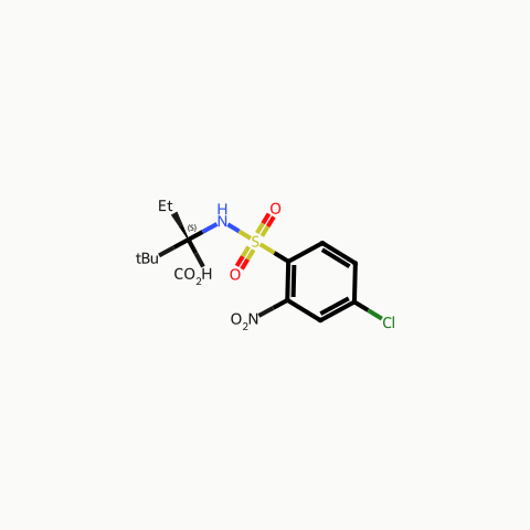 CC[C@@](NS(=O)(=O)c1ccc(Cl)cc1[N+](=O)[O-])(C(=O)O)C(C)(C)C